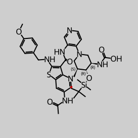 COc1ccc(CNc2sc3cc(NC(C)=O)cnc3c2C(=O)Nc2cnccc2N2C[C@H](C)[C@@H](O[Si](C)(C)C(C)(C)C)[C@H](NC(=O)O)C2)cc1